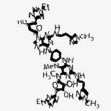 CCn1nnc([C@H]2O[C@@H](N(C)c3nc(NCCc4cn(C)cn4)nc(N[C@H]4CC[C@H](Nc5nc(NCCc6cn(C)cn6)nc6c5ncn6[C@H]5C[C@H](O)[C@@H](c6nnn(CC)n6)O5)CC4)c3NC)[C@H](O)C2O)n1